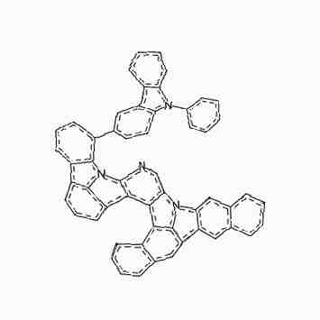 c1ccc(-n2c3ccccc3c3cc(-c4cccc5c6cccc7c8c9c%10c%11ccccc%11cc%11c%12cc%13ccccc%13cc%12n(c9cnc8n(c45)c67)c%11%10)ccc32)cc1